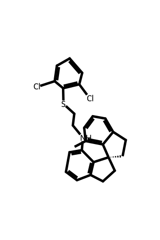 Cc1cccc2c1[C@@]1(CC2)CCc2cccc(NCCSc3c(Cl)cccc3Cl)c21